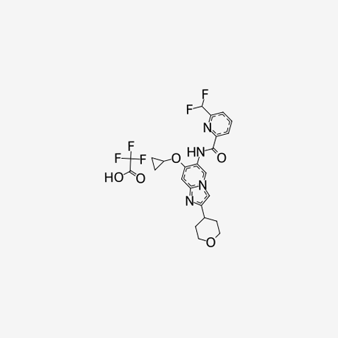 O=C(Nc1cn2cc(C3CCOCC3)nc2cc1OC1CC1)c1cccc(C(F)F)n1.O=C(O)C(F)(F)F